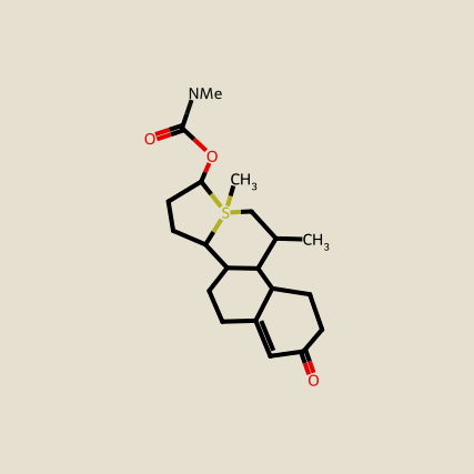 CNC(=O)OC1CCC2C3CCC4=CC(=O)CCC4C3C(C)CS12C